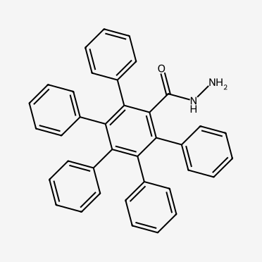 NNC(=O)c1c(-c2ccccc2)c(-c2ccccc2)c(-c2ccccc2)c(-c2ccccc2)c1-c1ccccc1